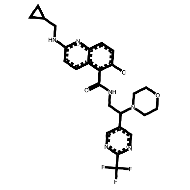 O=C(NCC(c1cnc(C(F)(F)F)nc1)N1CCOCC1)c1c(Cl)ccc2nc(NCC3CC3)ccc12